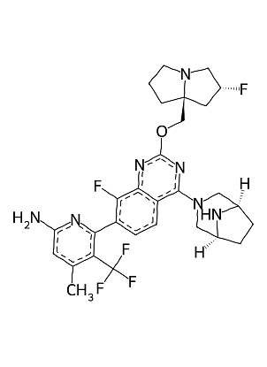 Cc1cc(N)nc(-c2ccc3c(N4C[C@H]5CC[C@@H](C4)N5)nc(OC[C@@]45CCCN4C[C@H](F)C5)nc3c2F)c1C(F)(F)F